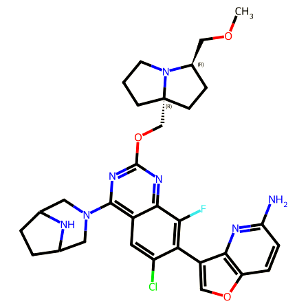 COC[C@H]1CC[C@@]2(COc3nc(N4CC5CCC(C4)N5)c4cc(Cl)c(-c5coc6ccc(N)nc56)c(F)c4n3)CCCN12